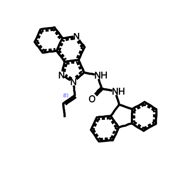 C/C=C/n1nc2c(cnc3ccccc32)c1NC(=O)NC1c2ccccc2-c2ccccc21